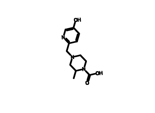 CC1CN(Cc2ccc(O)cn2)CCN1C(=O)O